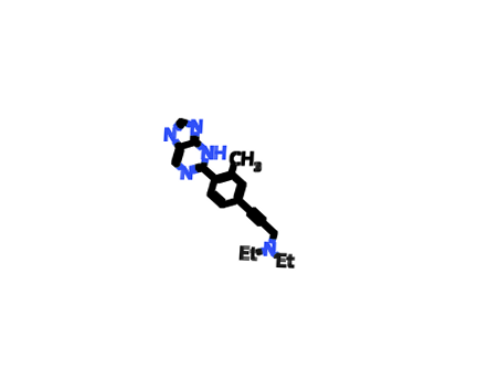 CCN(CC)CC#Cc1ccc(-c2ncc3ncnc-3[nH]2)c(C)c1